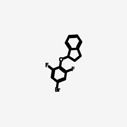 Fc1cc(Br)cc(F)c1OC1CCc2ccccc21